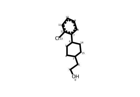 OCCC1CCC(c2ccccc2Cl)CC1